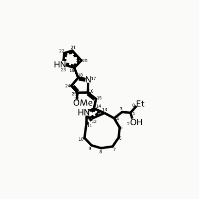 CCC(O)CC1CCCCCCc2cc1c(C=C1N=C(c3ccc[nH]3)C=C1OC)[nH]2